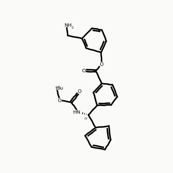 CC(C)(C)OC(=O)N[C@@H](c1ccccc1)c1cccc(C(=O)Oc2cccc(CN)c2)c1